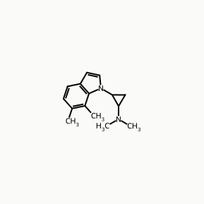 Cc1ccc2ccn(C3CC3N(C)C)c2c1C